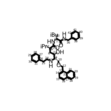 CC[C@H](C)[C@H](NC(=O)[C@@H](C[C@H](O)[C@H](COCc1cccc2ccccc12)NCCc1ccccc1)C(C)C)C(=O)NCc1ccccc1